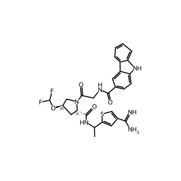 CC(NC(=O)[C@@H]1C[C@@H](OC(F)F)CN1C(=O)CNC(=O)c1ccc2[nH]c3ccccc3c2c1)c1cc(C(=N)N)cs1